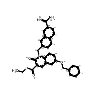 CCOC(=O)c1cc2cc(OCc3ccccc3)ccc2n(Cc2ccc3ccc(C(=N)N)cc3c2)c1=O